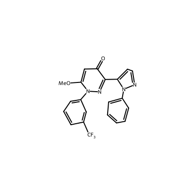 COc1cc(=O)c(-c2ccnn2-c2ccccc2)nn1-c1cccc(C(F)(F)F)c1